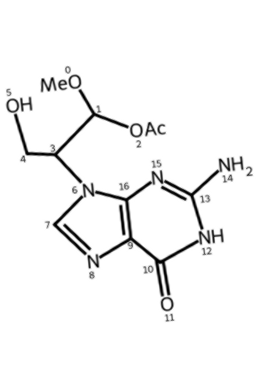 COC(OC(C)=O)C(CO)n1cnc2c(=O)[nH]c(N)nc21